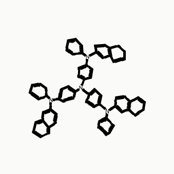 C1=CCC(N(c2ccc(N(c3ccc(N(c4ccccc4)c4ccc5c(c4)C=CCC5)cc3)c3ccc(N(c4ccccc4)c4ccc5c(c4)CCC=C5)cc3)cc2)c2ccc3ccccc3c2)C=C1